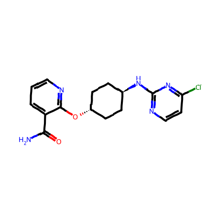 NC(=O)c1cccnc1O[C@H]1CC[C@H](Nc2nccc(Cl)n2)CC1